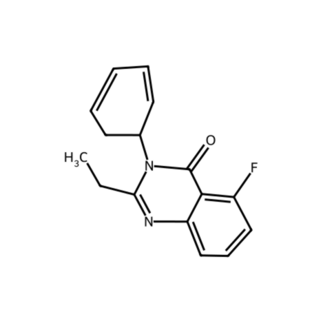 CCc1nc2cccc(F)c2c(=O)n1C1C=CC=CC1